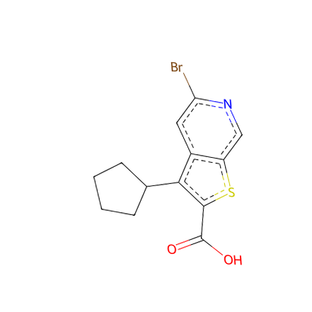 O=C(O)c1sc2cnc(Br)cc2c1C1CCCC1